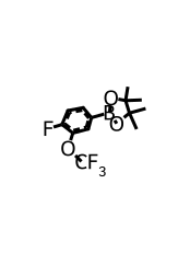 CC1(C)OB(c2ccc(F)c(OC(F)(F)F)c2)OC1(C)C